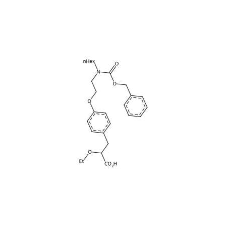 CCCCCCN(CCOc1ccc(CC(OCC)C(=O)O)cc1)C(=O)OCc1ccccc1